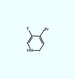 CC(C)C1=CCN[C]=C1F